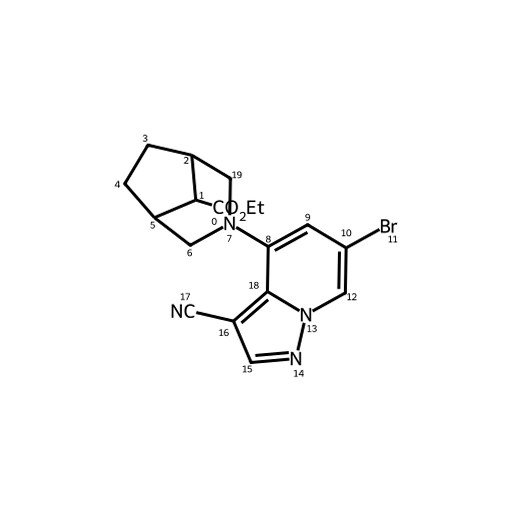 CCOC(=O)C1C2CCC1CN(c1cc(Br)cn3ncc(C#N)c13)C2